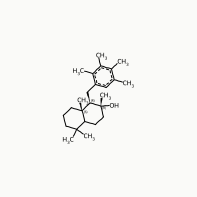 Cc1cc(C[C@@H]2[C@@]3(C)CCCC(C)(C)C3CC[C@@]2(C)O)c(C)c(C)c1C